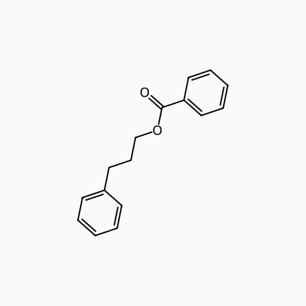 O=C(OCCCc1ccccc1)c1ccccc1